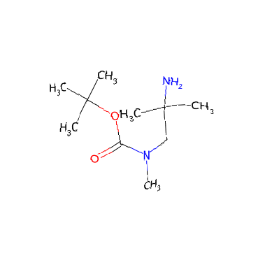 CN(CC(C)(C)N)C(=O)OC(C)(C)C